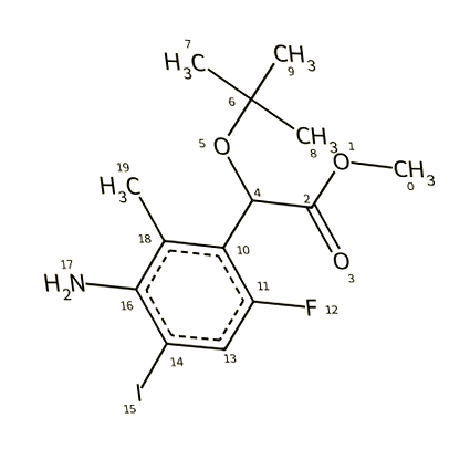 COC(=O)C(OC(C)(C)C)c1c(F)cc(I)c(N)c1C